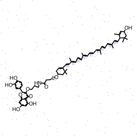 CC1=CC(O)CC(C)(C)C1/C=C/C(C)=C/C=C/C(C)=C/C=C/C=C(C)/C=C/C=C(C)/C=C/C1=CCC(OCCCC(=O)NCCCOc2c(-c3ccc(O)c(O)c3)oc3cc(O)cc(O)c3c2=O)CC1(C)C